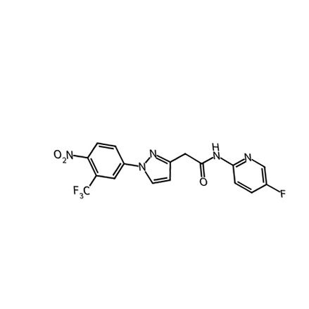 O=C(Cc1ccn(-c2ccc([N+](=O)[O-])c(C(F)(F)F)c2)n1)Nc1ccc(F)cn1